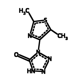 Cc1nc(-n2nn[nH]c2=O)c(C)s1